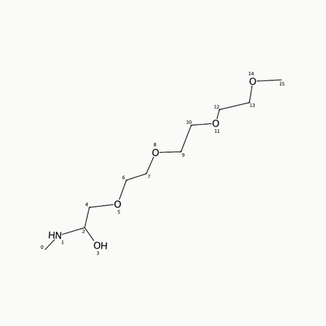 CNC(O)COCCOCCOCCOC